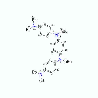 CCCCN(c1ccc(N(CC)CC)cc1)c1ccc(N(CCCC)c2ccc(N(CC)CC)cc2)cc1